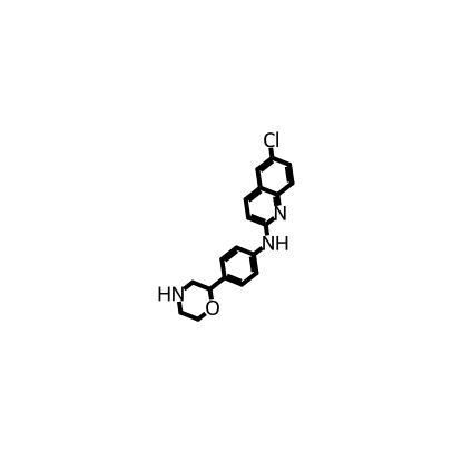 Clc1ccc2nc(Nc3ccc(C4CNCCO4)cc3)ccc2c1